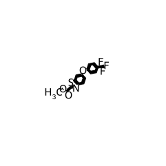 COC(=O)c1nc2ccc(Oc3ccc(C(F)(F)F)cc3)cc2s1